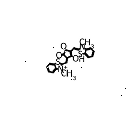 CN1/C(=C/C2=C(O)C(Cc3sc4ccccc4[n+]3C)C(=O)C2=O)Sc2ccccc21